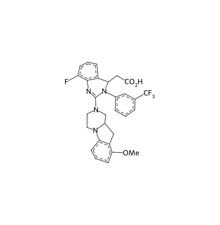 COc1cccc2c1CC1CN(C3=Nc4c(F)cccc4C(CC(=O)O)N3c3cccc(C(F)(F)F)c3)CCN21